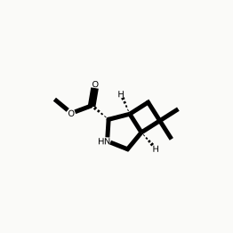 COC(=O)[C@H]1NC[C@H]2[C@@H]1CC2(C)C